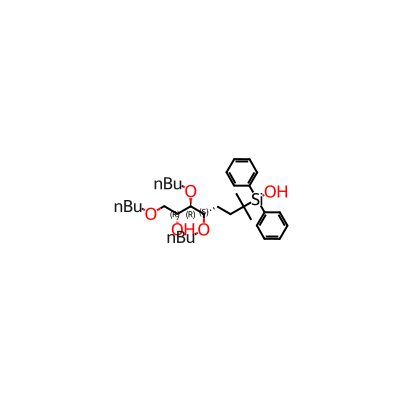 CCCCOC[C@@H](O)[C@@H](OCCCC)[C@H](CCC(C)(C)[Si](O)(c1ccccc1)c1ccccc1)OCCCC